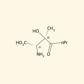 CCCC(=O)[C@](C)(O)[C@H](N)C(=O)O